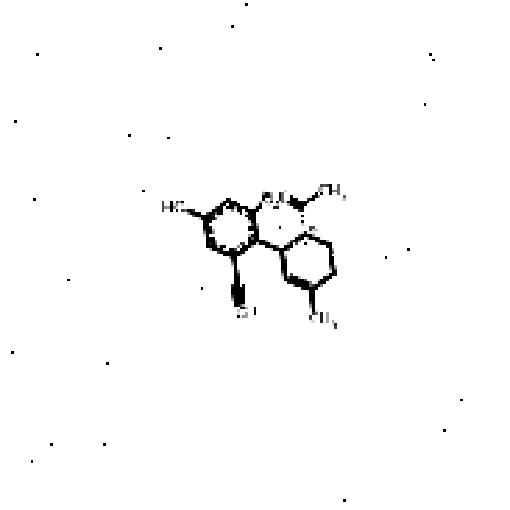 C#Cc1cc(O)cc(O)c1C1C=C(C)CC[C@H]1C(=C)C